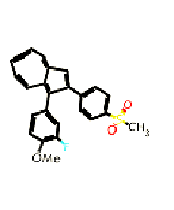 COc1ccc(-c2c3cccccc-3cc2-c2ccc(S(C)(=O)=O)cc2)cc1F